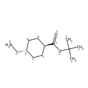 CC(C)(C)OC(=O)[C@H]1CC[C@H](CN)CC1